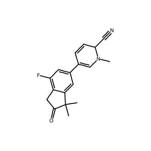 CN1C=C(c2cc(F)c3c(c2)C(C)(C)C(=O)C3)C=CC1C#N